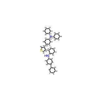 c1ccc(-c2ccc(Nc3ccccc3-c3cscc3-c3ccc(N(c4ccccc4)c4ccccc4)cc3)cc2)cc1